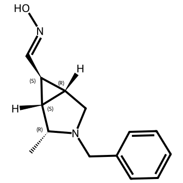 C[C@@H]1[C@@H]2[C@@H](C=NO)[C@@H]2CN1Cc1ccccc1